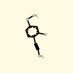 CC#Cc1ccc(OC)cc1Cl